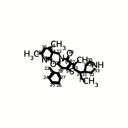 CCC(c1sc2c(c1C)C(=O)N(Cc1c(C)cc(C)nc1OCc1ccccc1)CC2)C1CCNCC1